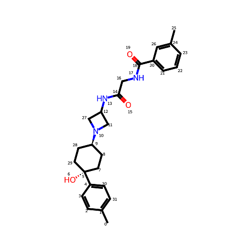 Cc1ccc([C@]2(O)CC[C@H](N3CC(NC(=O)CNC(=O)c4cccc(C)c4)C3)CC2)cc1